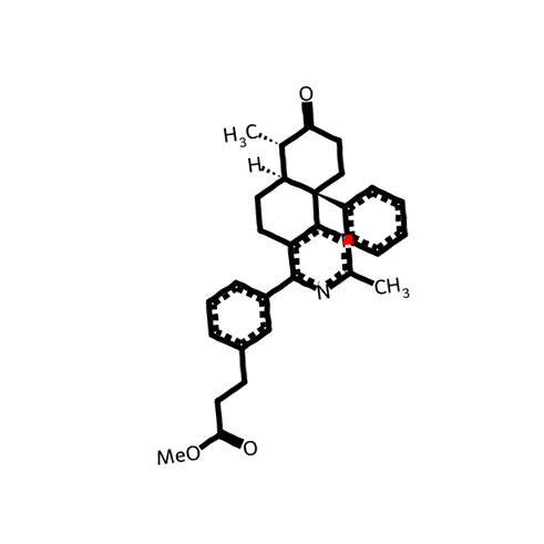 COC(=O)CCc1cccc(-c2nc(C)nc3c2CC[C@H]2[C@H](C)C(=O)CC[C@]32c2ccccc2)c1